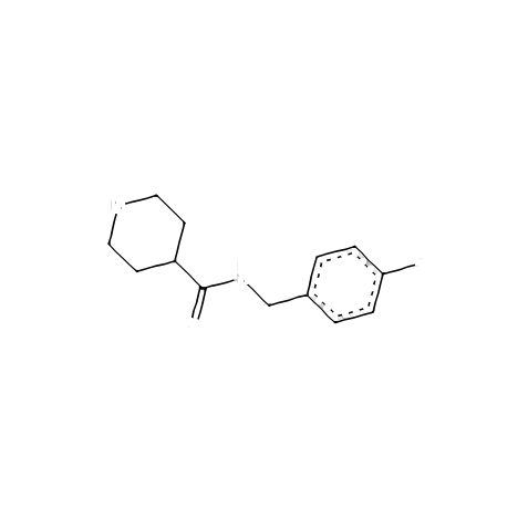 O=C(NCc1ccc(F)cc1)C1CCNCC1